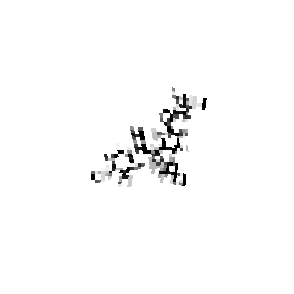 Cl.Cl.Cl.Clc1ccc(Nc2ncnc3ccc(OC4CNC4)nc23)cc1Cl